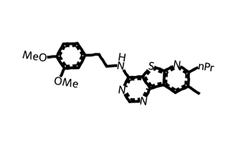 CCCc1nc2sc3c(NCCc4ccc(OC)c(OC)c4)ncnc3c2cc1C